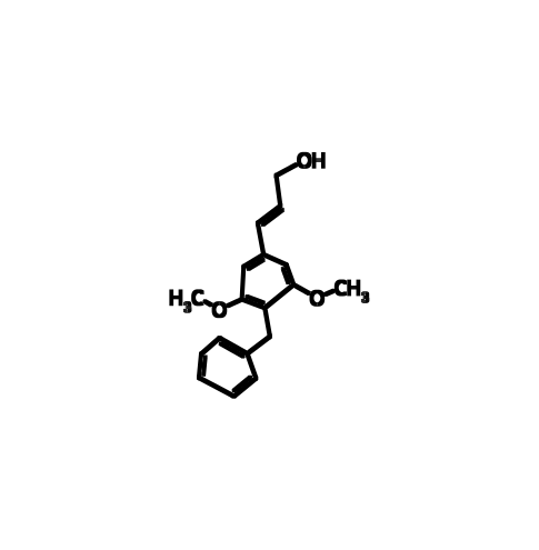 COc1cc(C=CCO)cc(OC)c1Cc1ccccc1